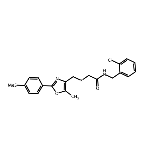 CSc1ccc(-c2nc(CSCC(=O)NCc3ccccc3Cl)c(C)o2)cc1